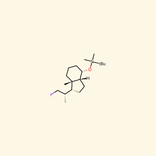 C[C@H](CI)[C@H]1CC[C@H]2[C@@H](O[Si](C)(C)C(C)(C)C)CCC[C@@]12C